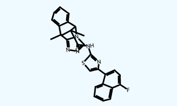 CC12CC(C)(C(=O)Nc3nc(-c4ccc(F)c5ccccc45)cs3)C(c3ccccc31)n1cnnc12